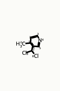 Cc1ccncc1C(Cl)Cl